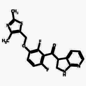 Cc1nc(C)c(COc2ccc(F)c(C(=O)C3CNc4ncccc43)c2F)s1